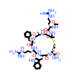 CC(=O)N[C@@H](CCCNC(=N)N)C(=O)N[C@H]1C(=O)N[C@H](C)C(=O)N[C@H](Cc2ccccc2)C(=O)N[C@@H](CCCNC(=N)N)C(=O)N[C@@H](Cc2c[nH]c3ccccc23)C(=O)N[C@H](C(N)=O)CCSSC1(C)C